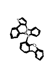 c1ccc2c(c1)B1N(c3ccccc3N1c1cccc3c1oc1ccccc13)c1ccsc1-2